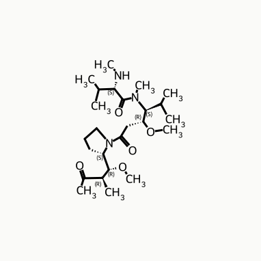 CN[C@H](C(=O)N(C)[C@@H](C(C)C)[C@@H](CC(=O)N1CCC[C@H]1[C@H](OC)[C@@H](C)C(C)=O)OC)C(C)C